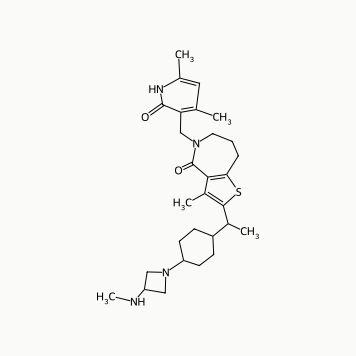 CNC1CN(C2CCC(C(C)c3sc4c(c3C)C(=O)N(Cc3c(C)cc(C)[nH]c3=O)CCC4)CC2)C1